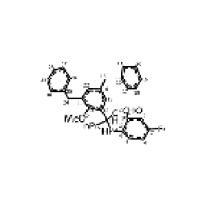 CCCC(C)(Pc1ccc(F)cc1C=O)c1cc(Cc2ccccc2)cc(Cc2ccccc2)c1OC